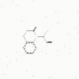 C=CC(N)N1C(=O)CCc2ccccc21